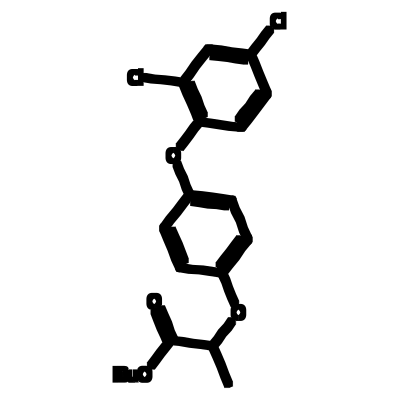 CC(C)COC(=O)C(C)Oc1ccc(Oc2ccc(Cl)cc2Cl)cc1